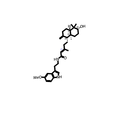 C=C1CC[C@@H]2C(C)(C)[C@H](O)CC[C@@]2(C)[C@@H]1CC/C(C)=C/C(=O)NCCc1c[nH]c2ccc(OC)cc12